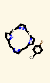 C1=Cc2cc3ccc(cc4nc(cc5ccc(cc1n2)[nH]5)C=C4)[nH]3.[Co][c]1ccc(Br)cc1